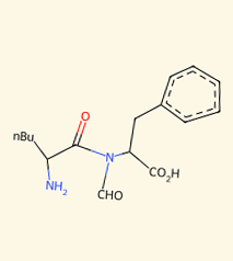 CCCCC(N)C(=O)N(C=O)C(Cc1ccccc1)C(=O)O